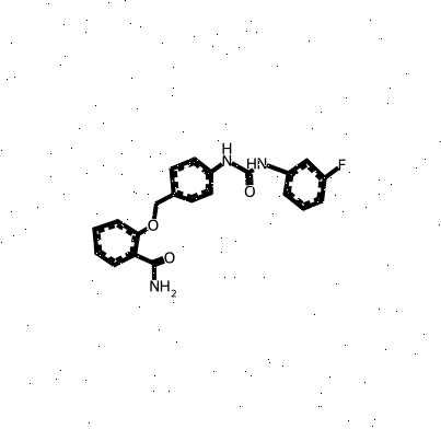 NC(=O)c1ccccc1OCc1ccc(NC(=O)Nc2cccc(F)c2)cc1